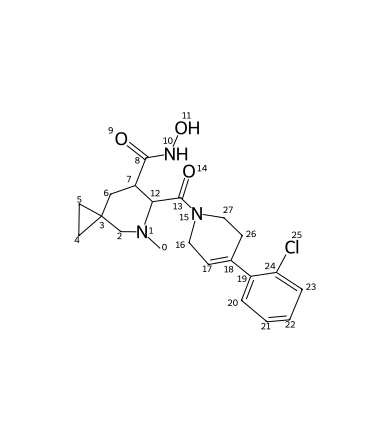 CN1CC2(CC2)CC(C(=O)NO)C1C(=O)N1CC=C(c2ccccc2Cl)CC1